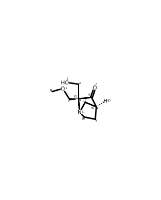 COC[C@@]1(CO)C(=O)[C@H]2CCN1C2